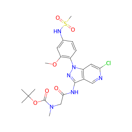 COc1cc(NS(C)(=O)=O)ccc1-n1nc(NC(=O)CN(C)C(=O)OC(C)(C)C)c2cnc(Cl)cc21